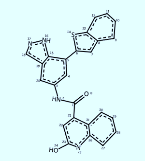 O=C(Nc1cc(-c2cc3ccccc3s2)c2[nH]ncc2c1)c1cc(O)nc2ccccc12